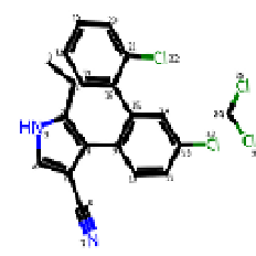 CCc1[nH]cc(C#N)c1-c1ccc(Cl)cc1-c1ccccc1Cl.ClCCl